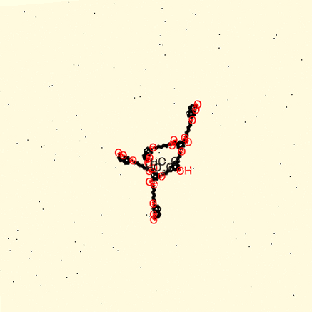 O=C(OCCCCCCOc1ccc2ccc(=O)oc2c1)c1cc(OCCCCC2(C(=O)O)C=C(O)CC(CCCCOc3cc(C(=O)OCCCCCCOc4ccc5ccc(=O)oc5c4)cc(C(=O)OCCCCCCOc4ccc5ccc(=O)oc5c4)c3)(C(=O)O)C2)cc(C(=O)OCCCCCCOc2ccc3ccc(=O)oc3c2)c1